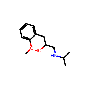 COc1ccccc1CC(O)CNC(C)C